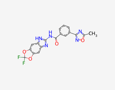 Cc1nc(-c2cccc(C(=O)Nc3nc4cc5c(cc4[nH]3)OC(F)(F)O5)c2)no1